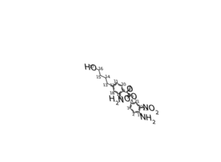 Nc1ccc(OS(=O)(=O)c2ccc(CCCCO)cc2N)cc1[N+](=O)[O-]